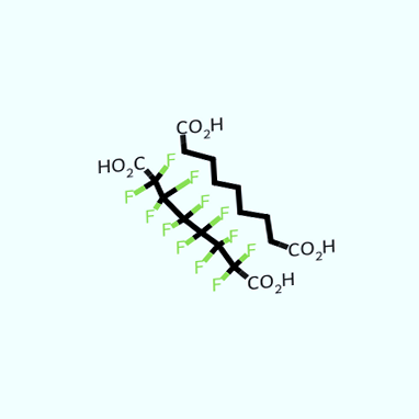 O=C(O)C(F)(F)C(F)(F)C(F)(F)C(F)(F)C(F)(F)C(F)(F)C(=O)O.O=C(O)CCCCCCCC(=O)O